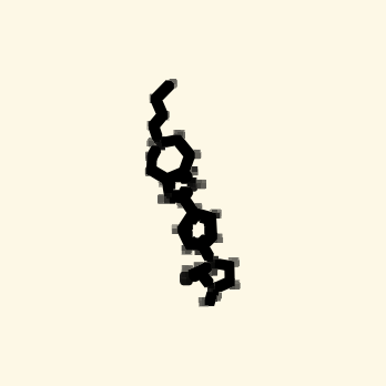 CCCCN1CCc2nc(-c3ccc(N4CCN(C)C4=O)cc3)sc2CC1